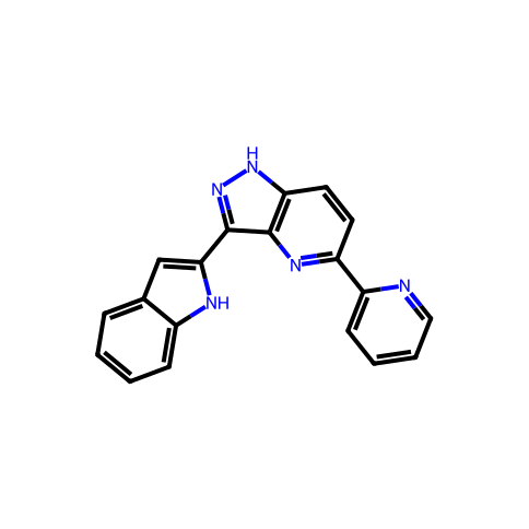 c1ccc(-c2ccc3[nH]nc(-c4cc5ccccc5[nH]4)c3n2)nc1